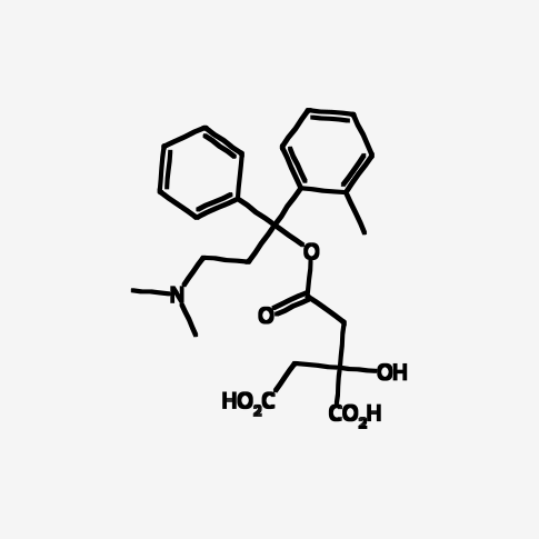 Cc1ccccc1C(CCN(C)C)(OC(=O)CC(O)(CC(=O)O)C(=O)O)c1ccccc1